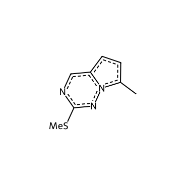 CSc1ncc2ccc(C)n2n1